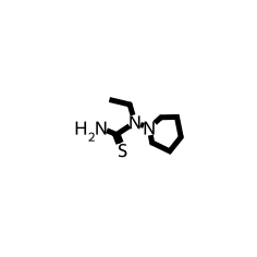 CCN(C(N)=S)N1CCCCC1